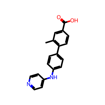 Cc1cc(C(=O)O)ccc1-c1ccc(Nc2ccncc2)cc1